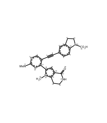 CNc1ncc(C#Cc2ccc3c(c2)CCN3C(=O)O)c(-c2cc3c(n2C)CCNC3=O)n1